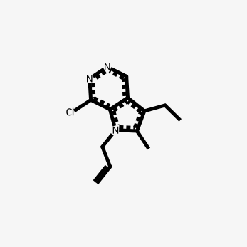 C=CCn1c(C)c(CC)c2cnnc(Cl)c21